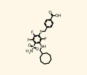 NS(=O)(=O)c1c(F)c(F)c(SCc2ccc(C(=O)O)cc2)c(F)c1NCC1CCCCCCC1